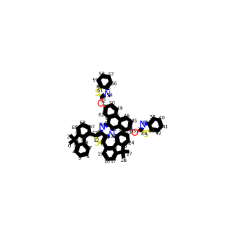 CC1(C)c2ccccc2-c2c(-c3sc(-c4cccc5c4-c4ccccc4C5(C)C)c4nc5c6cc(Oc7nc8ccccc8s7)ccc6c6ccc(Oc7nc8ccccc8s7)cc6c5nc34)cccc21